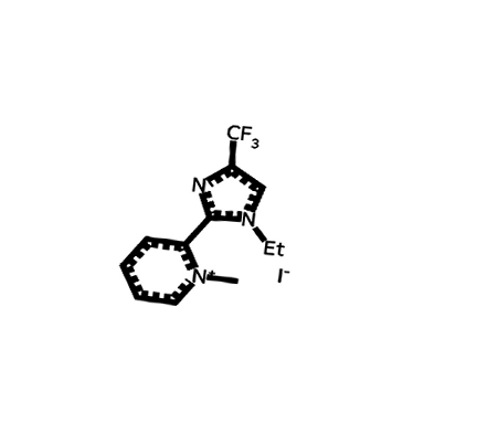 CCn1cc(C(F)(F)F)nc1-c1cccc[n+]1C.[I-]